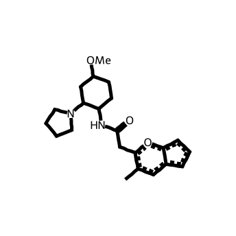 COC1CCC(NC(=O)Cc2oc3cccc-3cc2C)C(N2CCCC2)C1